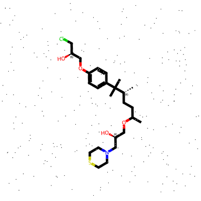 CC(CC[C@@H](C)C(C)(C)c1ccc(OC[C@@H](O)CCl)cc1)OC[C@H](O)CN1CCSCC1